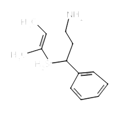 CC=C(C)[SiH2]C(CCN)c1ccccc1